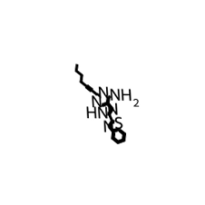 CCCCC#Cc1nc(N)c2nc(-c3nc4ccccc4s3)[nH]c2n1